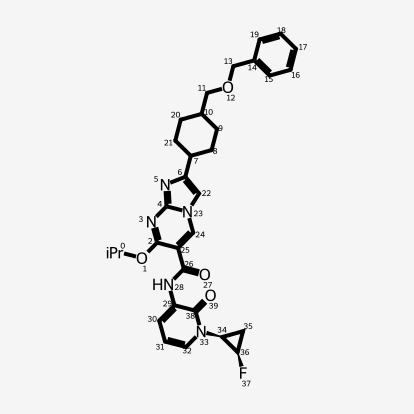 CC(C)Oc1nc2nc(C3CCC(COCc4ccccc4)CC3)cn2cc1C(=O)Nc1cccn([C@H]2C[C@H]2F)c1=O